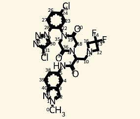 Cn1cc2cc(NC(=O)C(CN3CC(F)(F)C3)N3CC(=O)N(c4cc(Cl)ccc4-n4cc(Cl)nn4)CC3=O)ccc2n1